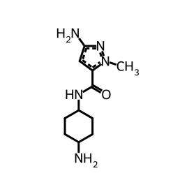 Cn1nc(N)cc1C(=O)NC1CCC(N)CC1